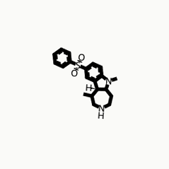 CC1CNCCC2[C@@H]1c1cc(S(=O)(=O)c3ccccc3)ccc1N2C